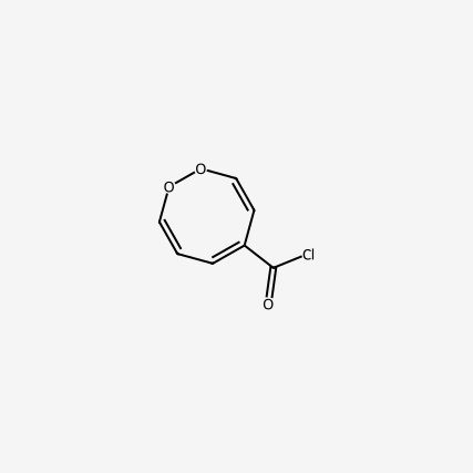 O=C(Cl)c1cccoocc1